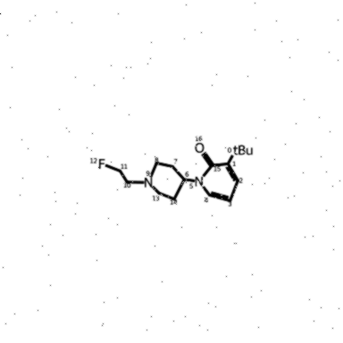 CC(C)(C)c1cccn(C2CCN(CCF)CC2)c1=O